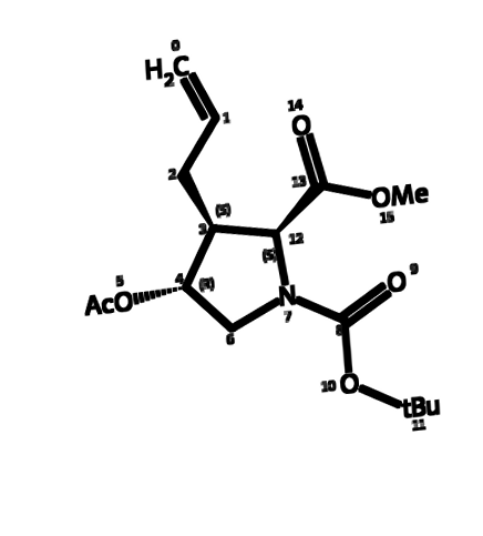 C=CC[C@@H]1[C@@H](OC(C)=O)CN(C(=O)OC(C)(C)C)[C@@H]1C(=O)OC